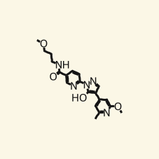 COCCCNC(=O)c1ccc(-n2ncc(-c3cc(C)nc(OC)c3)c2O)nc1